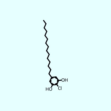 CCCCCCCCCCCCCCCc1cc(O)c(Cl)c(O)c1